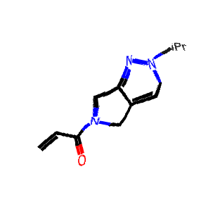 C=CC(=O)N1Cc2cn(C(C)C)nc2C1